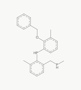 CPCc1cccc(C)c1Pc1cccc(C)c1OCc1ccccc1